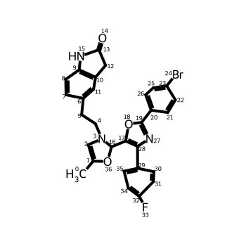 CC1=CN(CCc2ccc3c(c2)CC(=O)N3)C(c2oc(-c3ccc(Br)cc3)nc2-c2ccc(F)cc2)O1